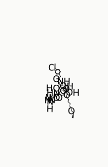 C#CCOCCCCCCO[C@]1(C(=O)O)C[C@H](O)[C@@H](NC(=O)Cc2nn[nH]n2)[C@H]([C@H](O)[C@H](O)CNC(=O)Cc2ccc(Cl)cc2)O1